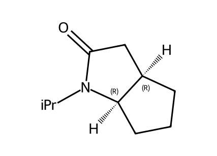 CC(C)N1C(=O)C[C@H]2CCC[C@H]21